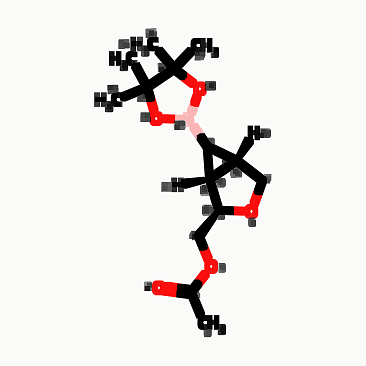 CC(=O)OC[C@@H]1OC[C@H]2C(B3OC(C)(C)C(C)(C)O3)[C@@H]12